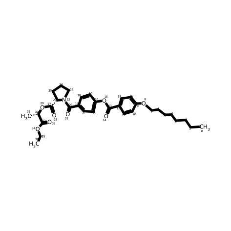 CCCCCCCCOc1ccc(C(=O)Oc2ccc(C(=O)N3CCC[C@H]3C(=O)O[C@@H](C)C(=O)OCC)cc2)cc1